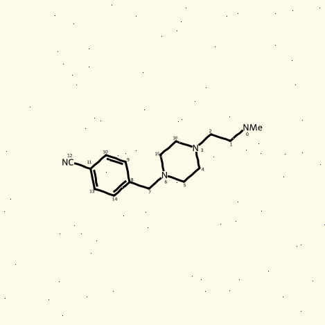 CNCCN1CCN(Cc2ccc(C#N)cc2)CC1